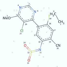 CC.COc1ncnc(-c2cc(N=S(=O)=O)c(C#N)cc2F)c1Cl